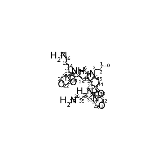 CCCCn1c2ccc(C(=O)[C@@](N)(CCCCN)N3CCOCC3)cc2c2cc(C(=O)[C@@](N)(CCCCN)N3CCOCC3)ccc21